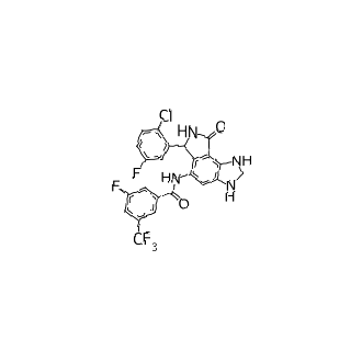 O=C(Nc1cc2c(c3c1C(c1cc(F)ccc1Cl)NC3=O)NCN2)c1cc(F)cc(C(F)(F)F)c1